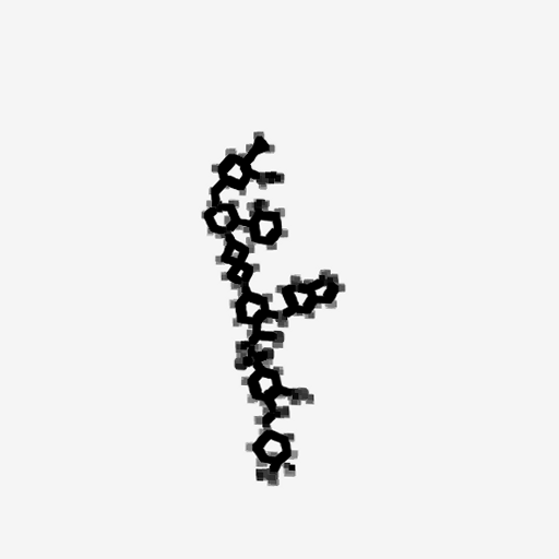 COc1cc(CN2CCN(C3CC4(C3)CN(c3ccc(C(=O)NS(=O)(=O)c5ccc(NC[C@H]6CC[C@](C)(O)CC6)c([N+](=O)[O-])c5)c(Oc5cnc6[nH]ccc6c5)c3)C4)[C@H](c3ccccc3C(C)C)C2)ccc1C1CC1